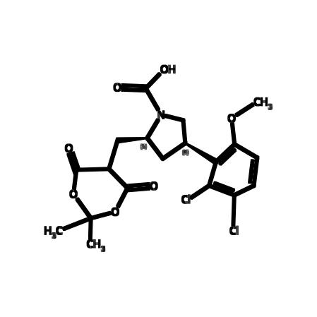 COc1ccc(Cl)c(Cl)c1[C@H]1C[C@@H](CC2C(=O)OC(C)(C)OC2=O)N(C(=O)O)C1